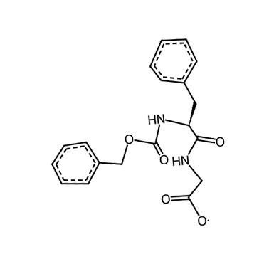 [O]C(=O)CNC(=O)[C@H](Cc1ccccc1)NC(=O)OCc1ccccc1